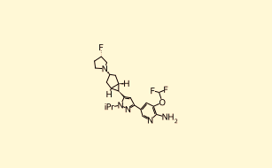 CC(C)n1nc(-c2cnc(N)c(OC(F)F)c2)cc1[C@H]1[C@@H]2C[C@@H](N3CC[C@H](F)C3)C[C@@H]21